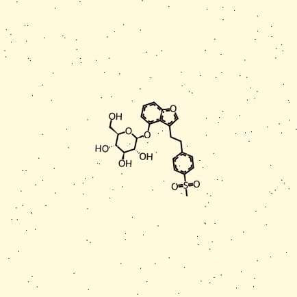 CS(=O)(=O)c1ccc(CCc2coc3cccc(O[C@@H]4O[C@H](CO)[C@@H](O)[C@H](O)[C@H]4O)c23)cc1